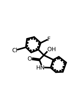 O=C1Nc2ccccc2C1(O)c1cc(Cl)ccc1F